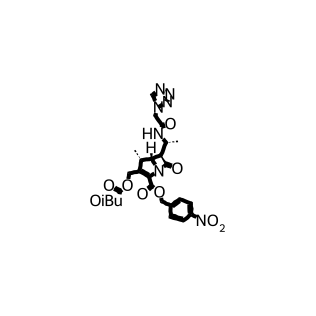 CC(C)COC(=O)OCC1=C(C(=O)OCc2ccc([N+](=O)[O-])cc2)N2C(=O)[C@H]([C@@H](C)NC(=O)Cn3cnnn3)[C@H]2[C@H]1C